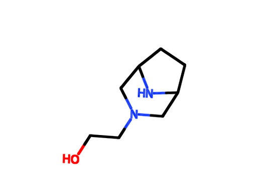 OCCN1CC2CCC(C1)N2